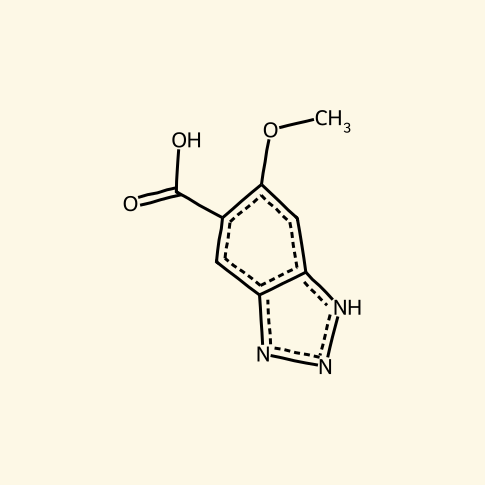 COc1cc2[nH]nnc2cc1C(=O)O